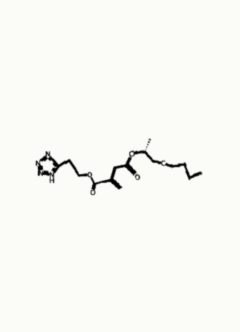 C=C(CC(=O)O[C@H](C)CCCCCC)C(=O)OCCc1nnn[nH]1